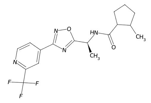 CC1CCCC1C(=O)N[C@@H](C)c1nc(-c2ccnc(C(F)(F)F)c2)no1